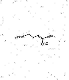 CCCCCCC/C=C(\C=O)CCCC